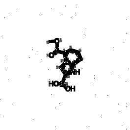 COC(=O)c1cccc2[nH]c(B(O)O)cc12